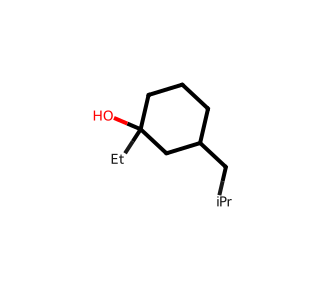 CCC1(O)CCCC(CC(C)C)C1